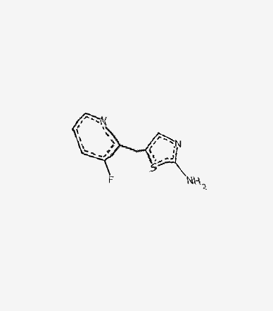 Nc1ncc(-c2ncccc2F)s1